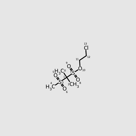 CC(C)(S(C)(=O)=O)S(=O)(=O)OCCCl